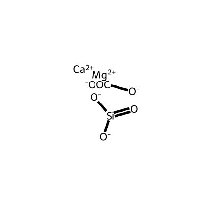 O=C([O-])[O-].O=[Si]([O-])[O-].[Ca+2].[Mg+2]